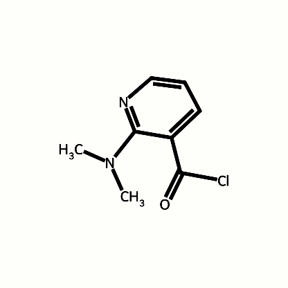 CN(C)c1ncccc1C(=O)Cl